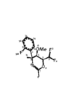 CO[C@H]1[C@@H](C(F)F)OC(C)=N[C@]1(C)c1ccccc1F